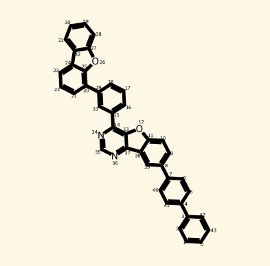 c1ccc(-c2ccc(-c3ccc4oc5c(-c6cccc(-c7cccc8c7oc7ccccc78)c6)ncnc5c4c3)cc2)cc1